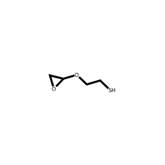 SCCOC1CO1